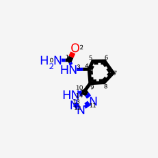 NC(=O)Nc1ccccc1-c1nnn[nH]1